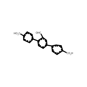 O=Cc1cc(-c2ccc(C(=O)O)cc2)ccc1-c1ccc(C(=O)O)cc1